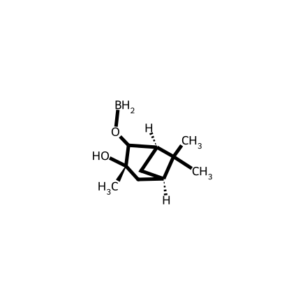 BOC1[C@@H]2C[C@H](C[C@]1(C)O)C2(C)C